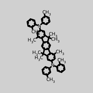 Cc1cccc(N(c2cc(C)c3c(c2)C(C)(C)c2cc4c(cc2-3)C(C)(C)c2cc(N(c3cccc(C)c3)c3ccccc3C)cc(C)c2-4)c2ccccc2C)c1